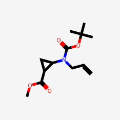 C=CCN(C(=O)OC(C)(C)C)C1CC1C(=O)OC